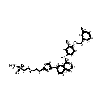 CS(=O)(=O)CCOCCc1nc(-c2ccc3ncnc(Nc4ccc(OCc5cccc(F)c5)c(Br)c4)c3c2)cs1